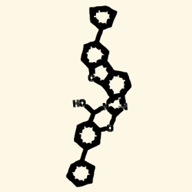 OC1c2ccc(-c3ccccc3)cc2Oc2nc3ccc4c5cc(-c6ccccc6)ccc5oc4c3n21